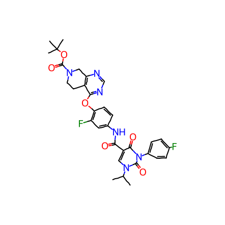 CC(C)n1cc(C(=O)Nc2ccc(Oc3ncnc4c3CCN(C(=O)OC(C)(C)C)C4)c(F)c2)c(=O)n(-c2ccc(F)cc2)c1=O